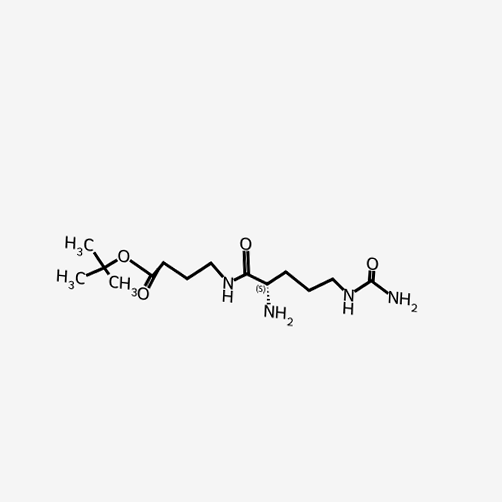 CC(C)(C)OC(=O)CCCNC(=O)[C@@H](N)CCCNC(N)=O